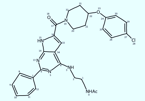 CC(=O)NCCNc1nc(-c2ccccc2)nc2[nH]c(C(=O)N3CCC(Oc4ccc(Cl)cc4)CC3)cc12